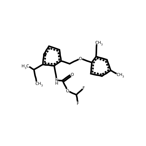 Cc1ccc(OCc2cccc(C(C)C)c2NC(=O)OC(F)F)c(C)c1